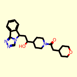 O=C(CC1CCOCC1)N1CCC(C(O)CC2c3ccccc3-c3nncn32)CC1